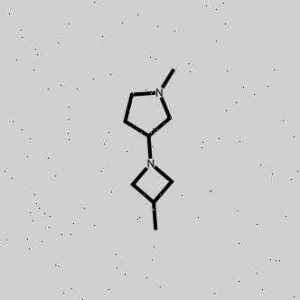 CC1CN(C2CCN(C)C2)C1